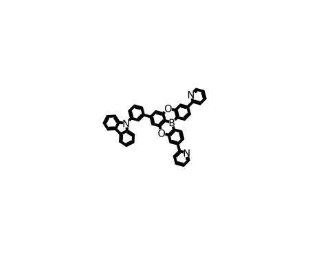 c1ccc(-c2ccc3c(c2)Oc2cc(-c4cccc(-n5c6ccccc6c6ccccc65)c4)cc4c2B3c2ccc(-c3ccccn3)cc2O4)nc1